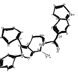 C[C@@H]1c2nn(-c3ccccc3)c(-c3ccccc3)c2CCN1C(=O)c1ccc2ncccc2c1